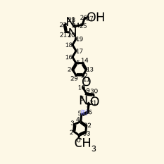 Cc1ccc(/C=C/c2nc(COc3ccc(CCCCn4ccnc4CCO)cc3)co2)cc1